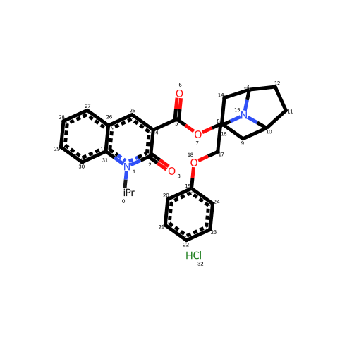 CC(C)n1c(=O)c(C(=O)OC2CC3CCC(C2)N3CCOc2ccccc2)cc2ccccc21.Cl